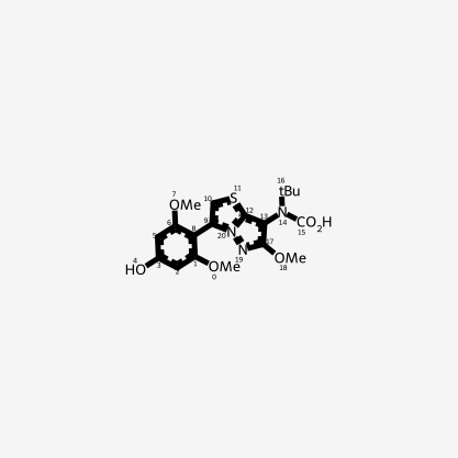 COc1cc(O)cc(OC)c1-c1csc2c(N(C(=O)O)C(C)(C)C)c(OC)nn12